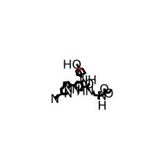 COC(=O)NC(C)(C)CCNC(=O)c1cnc(-c2ccc3cc(C#N)cnn23)cc1NC12CCC(O)(CC1)CC2